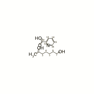 CC(O)CCCCCO.O=C(O)c1ccccn1